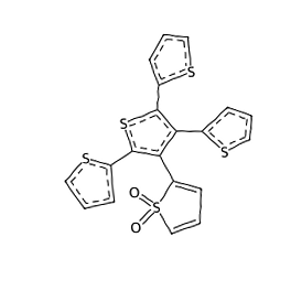 O=S1(=O)C=CC=C1c1c(-c2cccs2)sc(-c2cccs2)c1-c1cccs1